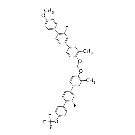 COc1ccc(-c2ccc(-c3ccc(OCOc4ccc(-c5ccc(-c6ccc(OC(F)(F)F)cc6)c(F)c5)cc4C)c(C)c3)cc2F)cc1